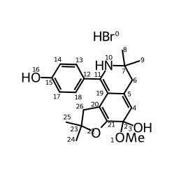 Br.COC1(O)C=C2CC(C)(C)NC(c3ccc(O)cc3)=C2C2=C1OC(C)(C)C2